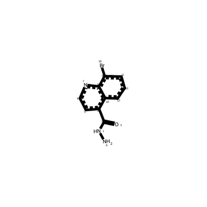 NNC(=O)c1ccnc2c(Br)cccc12